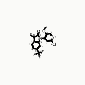 COc1cnc(Cl)cc1N1C(=O)C(C)c2ccc(C(F)(F)F)cc21